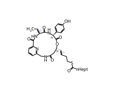 C/C=C1\NC(=O)c2cccc(n2)CNC(=O)C[C@@H](/C=C/CCSC(=O)CCCCCCC)OC(=O)[C@H](c2ccc(O)cc2)NC1=O